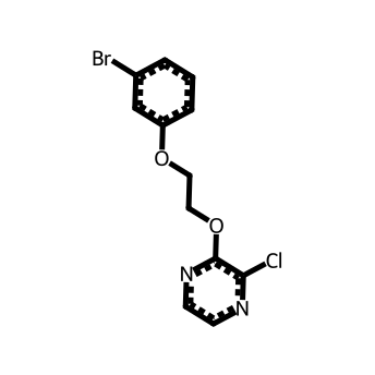 Clc1nccnc1OCCOc1cccc(Br)c1